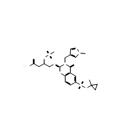 COC(=O)CC(C/N=c1\[nH]c2ccc(S(=O)(=O)NC3(C)CC3)cc2c(=O)n1Cc1cnn(C)c1)OS(C)(=O)=O